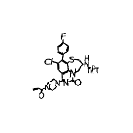 C=CC(=O)N1CCN(c2nc(=O)n3c4c(c(-c5ccc(F)cc5)c(Cl)cc24)SCC(NCCC)C3)CC1